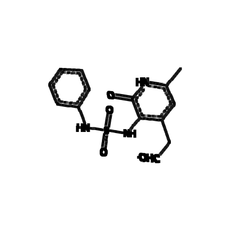 Cc1cc(C[C]=O)c(NS(=O)(=O)Nc2ccccc2)c(=O)[nH]1